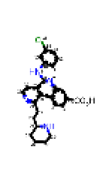 O=C(O)c1ccc2c(c1)nc(Nc1cccc(Cl)c1)c1ccnc(CCC3CCCCN3)c12